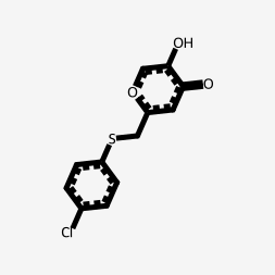 O=c1cc(CSc2ccc(Cl)cc2)occ1O